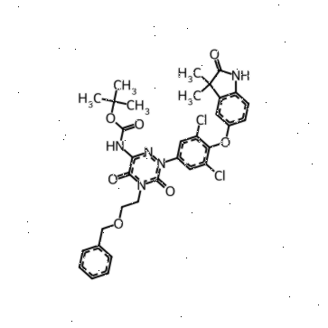 CC(C)(C)OC(=O)Nc1nn(-c2cc(Cl)c(Oc3ccc4c(c3)C(C)(C)C(=O)N4)c(Cl)c2)c(=O)n(CCOCc2ccccc2)c1=O